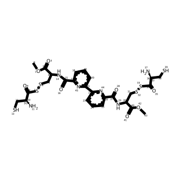 COC(=O)C(CSSC(=O)[C@@H](N)CS)NC(=O)c1cccc(-c2cccc(C(=O)NC(CSSC(=O)[C@@H](N)CS)C(=O)OC)n2)n1